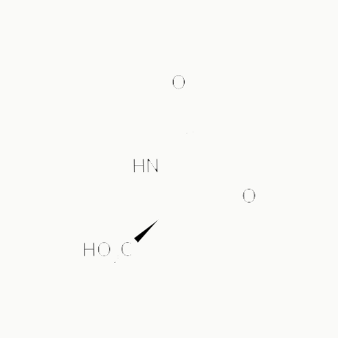 O=C1COC[C@@H](C(=O)O)N1